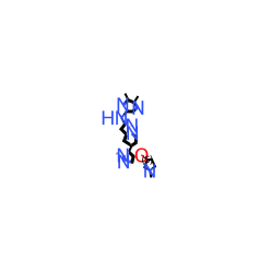 Cc1ncc(Nc2cc3cc(-c4c(O[C@H]5CCN(C)C5)cnn4C)ccn3n2)nc1C